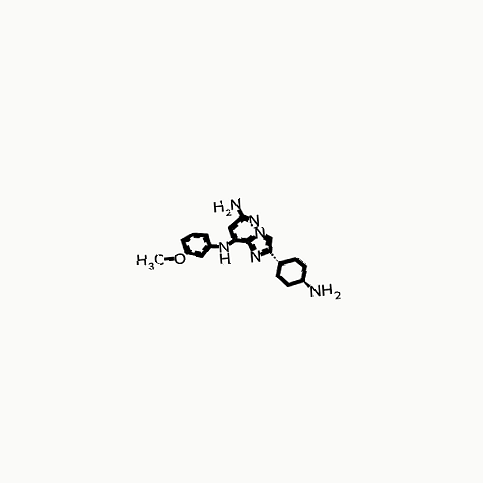 COc1cccc(Nc2cc(N)nn3cc([C@H]4CC[C@H](N)CC4)nc23)c1